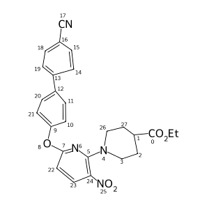 CCOC(=O)C1CCN(c2nc(Oc3ccc(-c4ccc(C#N)cc4)cc3)ccc2[N+](=O)[O-])CC1